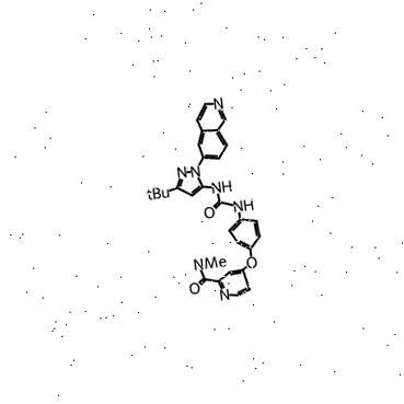 CNC(=O)c1cc(Oc2ccc(NC(=O)Nc3cc(C(C)(C)C)nn3-c3ccc4cnccc4c3)cc2)ccn1